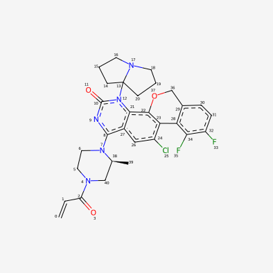 C=CC(=O)N1CCN(c2nc(=O)n(C34CCCN3CCC4)c3c4c(c(Cl)cc23)-c2c(ccc(F)c2F)CO4)[C@@H](C)C1